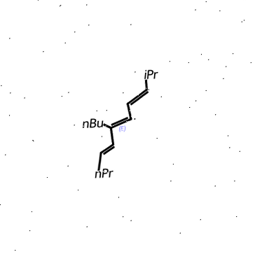 CCCC=C/C(=[C]/C=CC(C)C)CCCC